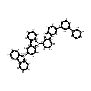 c1ccc(-c2cccc(-c3ccc4oc5c(-n6c7ccccc7c7cc(-n8c9ccccc9c9ccccc98)ccc76)cccc5c4c3)c2)cc1